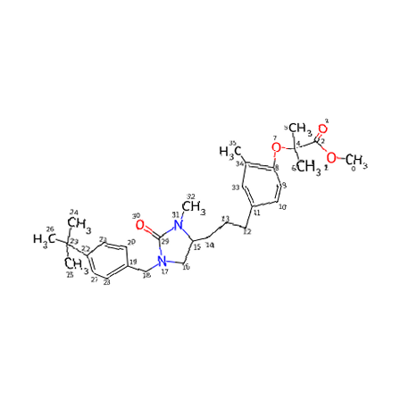 COC(=O)C(C)(C)Oc1ccc(CCCC2CN(Cc3ccc(C(C)(C)C)cc3)C(=O)N2C)cc1C